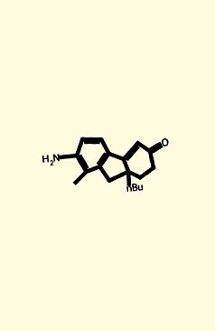 CCCCC12CCC(=O)C=C1c1ccc(N)c(C)c1C2